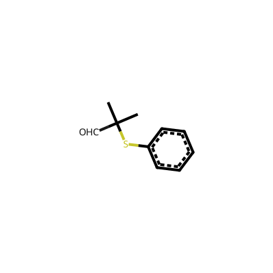 CC(C)(C=O)Sc1ccccc1